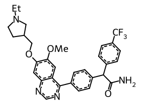 CCN1CCC(COc2cc3ncnc(-c4ccc(C(C(N)=O)c5ccc(C(F)(F)F)cc5)cc4)c3cc2OC)C1